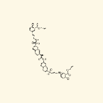 C=CCOC(=O)c1cc(C=CCNS(=O)(=O)c2ccc3ccc(NC(=O)Nc4ccc5ccc(S(=O)(=O)C=CCNc6ccc(Cl)c(C(=O)OCC=C)c6)cc5c4)cc3c2)ccc1Cl